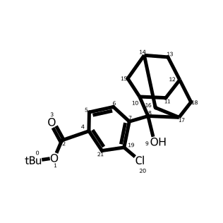 CC(C)(C)OC(=O)c1ccc(C2(O)C3CC4CC(C3)CC2C4)c(Cl)c1